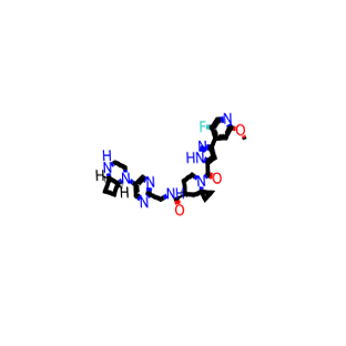 COc1cc(-c2cc(C(=O)N3CC[C@H](C(=O)NCc4ncc(N5CCN[C@@H]6CC[C@@H]65)cn4)CC34CC4)[nH]n2)c(F)cn1